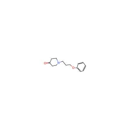 O=C1CCN(CCCOc2ccccc2)CC1